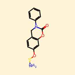 NSOc1ccc2c(c1)OC(=O)N(c1ccccc1)C2